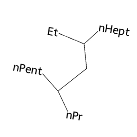 CCCCCCCC(CC)CC(CCC)CCCCC